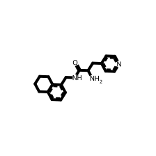 NC(Cc1ccncc1)C(=O)NCc1cccc2c1CCCC2